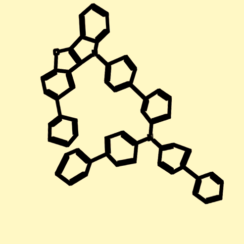 c1ccc(-c2ccc(N(c3ccc(-c4ccccc4)cc3)c3cccc(-c4ccc(-n5c6ccccc6c6oc7ccc(-c8ccccc8)cc7c65)cc4)c3)cc2)cc1